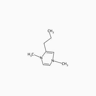 CCCC1=CN(C)C=CN1C